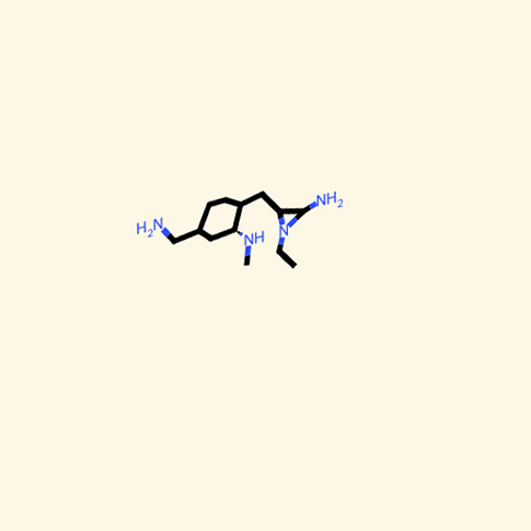 CCN1C(N)C1CC1CCC(CN)C[C@H]1NC